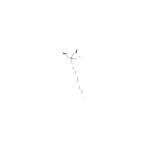 C=CCC(CC=C)(CCC)CNCCOCCOCCOC